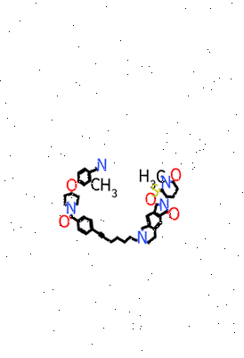 Cc1cc(OC2CCN(C(=O)c3ccc(C#CCCCCCN4CCc5cc6c(cc5C4)C(=O)N(C4CCC(=O)N(C)C4=S)C6=O)cc3)CC2)ccc1C#N